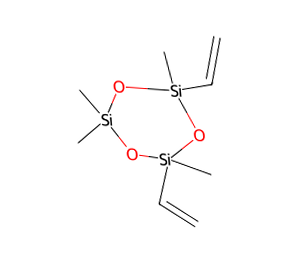 C=C[Si]1(C)O[Si](C)(C)O[Si](C)(C=C)O1